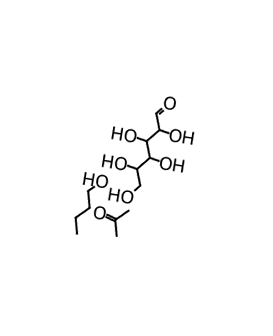 CC(C)=O.CCCCO.O=CC(O)C(O)C(O)C(O)CO